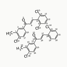 Cc1cc(C(=O)/C=C/c2c(Cl)cccc2Cl)ccc1Cl.Cc1cc(C(=O)/C=C/c2ccccc2Cl)ccc1Cl